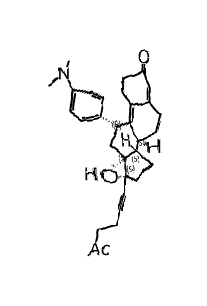 CC(=O)CCC#C[C@]1(O)CC[C@H]2[C@@H]3CCC4=CC(=O)CCC4=C3[C@@H](c3ccc(N(C)C)cc3)C[C@@]21C